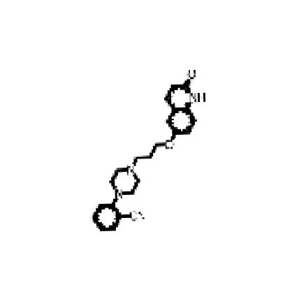 N#Cc1ccccc1N1CCN(CCCOc2ccc3[nH]c(=O)ccc3c2)CC1